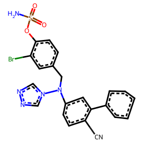 N#Cc1ccc(N(Cc2ccc(OS(N)(=O)=O)c(Br)c2)n2cnnc2)cc1-c1ccccc1